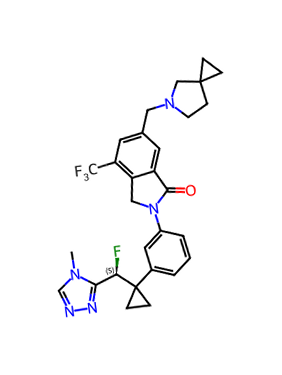 Cn1cnnc1[C@@H](F)C1(c2cccc(N3Cc4c(cc(CN5CCC6(CC6)C5)cc4C(F)(F)F)C3=O)c2)CC1